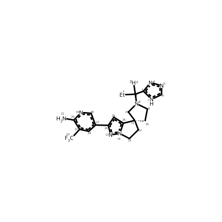 [2H]C(CC)(c1nnc[nH]1)N1CC[C@@]2(CCn3nc(-c4cnc(N)c(C(F)(F)F)c4)cc32)C1